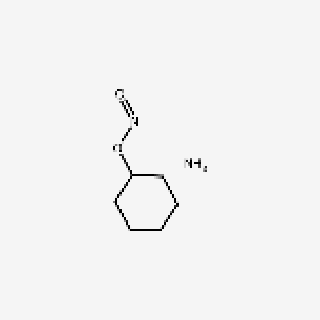 N.O=NOC1CCCCC1